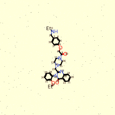 CCNCc1ccc(OCC(=O)N2CCN(Cc3nc4ccccc4c(=O)n3-c3ccccc3OCC)CC2)cc1